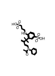 C=C(/C=C/N(C(C)=O)c1ccccc1)C(C)(C)c1cc(S(=O)(=O)O)ccc1NCCCS(=O)(=O)O